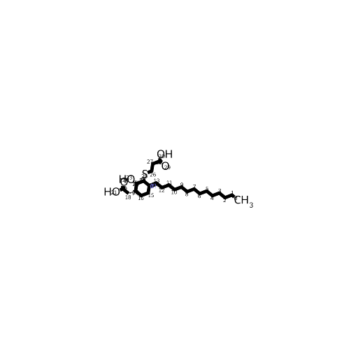 CCCCCCCCCCCCC/C=C1\CC[C@H](CC(=O)O)[C@@H](O)[C@@H]1SCCC(=O)O